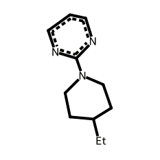 CCC1CCN(c2ncccn2)CC1